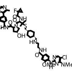 CNc1nc(Nc2ccc(C(=O)NCCNC[C@H]3CC[C@@H](CSC(C)(C)[C@H](NC(=O)C4(F)CC4)C(=O)N4C[C@H](O)CC4C(=O)N[C@@H](C)c4ccc(-c5scnc5C)cc4)CC3)cc2OC)ncc1Cl